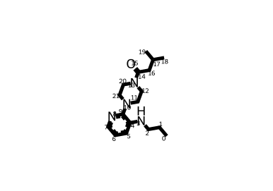 CCCNc1cccnc1N1CCN(C(=O)CC(C)C)CC1